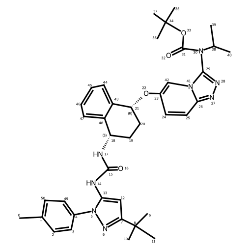 Cc1ccc(-n2nc(C(C)(C)C)cc2NC(=O)N[C@H]2CC[C@@H](Oc3ccc4nnc(N(C(=O)OC(C)(C)C)C(C)C)n4c3)c3ccccc32)cc1